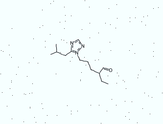 CCC(C=O)CCCn1ncnc1CC(C)C